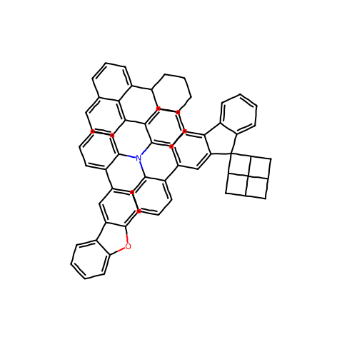 c1ccc(N(c2ccccc2-c2ccc3oc4ccccc4c3c2)c2ccccc2-c2cccc3cccc(C4CCCCC4)c23)c(-c2ccc3c(c2)C2(c4ccccc4-3)C3CC4CC5CC2C453)c1